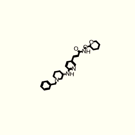 O=C(C=Cc1ccc(N[C@@H]2CCCN(Cc3ccccc3)C2)nc1)NOC1CCCCO1